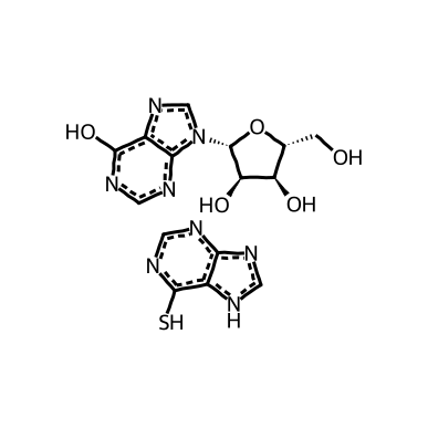 OC[C@H]1O[C@@H](n2cnc3c(O)ncnc32)[C@H](O)[C@@H]1O.Sc1ncnc2nc[nH]c12